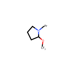 CC(C)N1CCCC1OC(F)(F)F